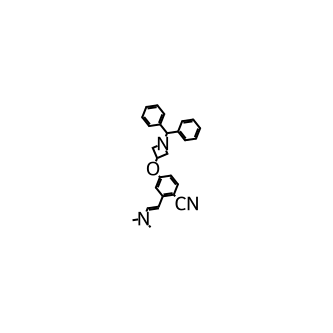 CN(C)C=Cc1cc(OC2CN(C(c3ccccc3)c3ccccc3)C2)ccc1C#N